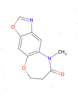 CN1C(=O)CCOc2cc3ocnc3cc21